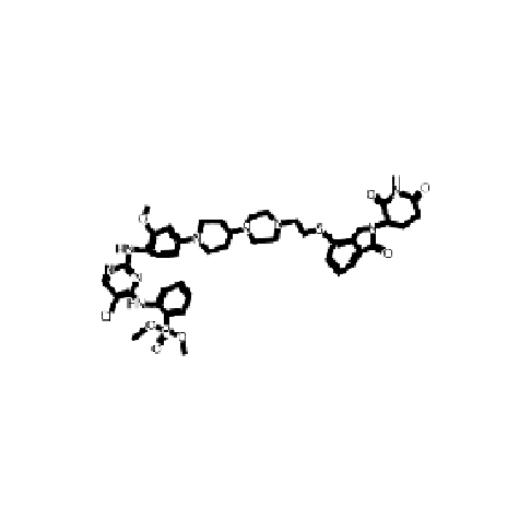 COc1cc(N2CCC(N3CCN(CCSc4cccc5c4CN(C4CCC(=O)NC4=O)C5=O)CC3)CC2)ccc1Nc1ncc(Cl)c(Nc2ccccc2P(=O)(OC)OC)n1